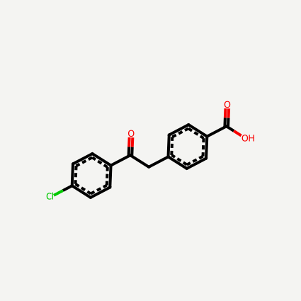 O=C(O)c1ccc(CC(=O)c2ccc(Cl)cc2)cc1